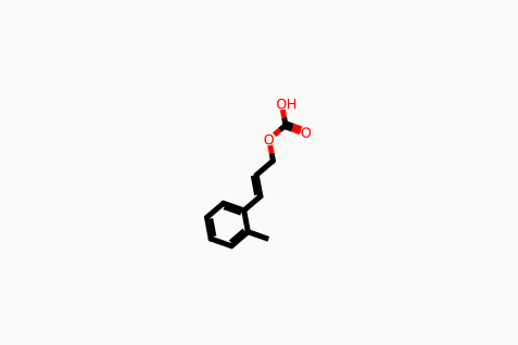 Cc1ccccc1C=CCOC(=O)O